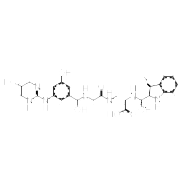 O=C(CNC(O)c1cc(O)cc(NC2=NCC(O)CN2)c1)NC[C@H](NC(O)C1Nc2ccccc2C1=O)C(=O)O